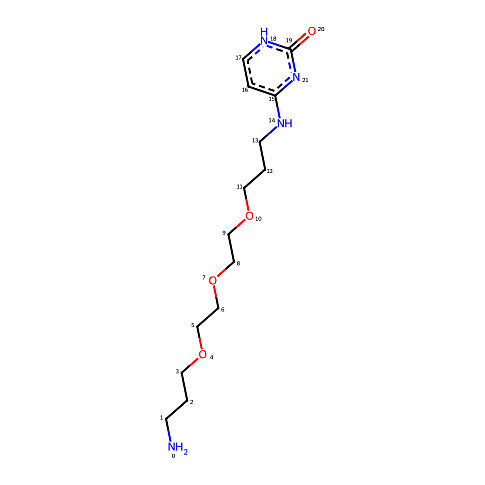 NCCCOCCOCCOCCCNc1cc[nH]c(=O)n1